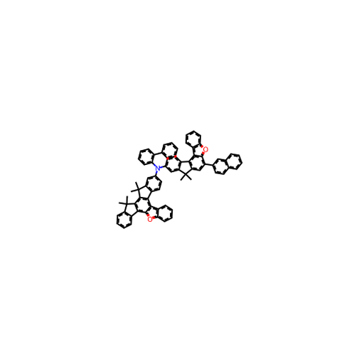 CC1(C)c2cc(N(c3ccc4c(c3)C(C)(C)c3c5c(c6oc7ccccc7c6c3-4)-c3ccccc3C5(C)C)c3ccccc3-c3ccccc3)ccc2-c2c1cc(-c1ccc3ccccc3c1)c1oc3ccccc3c21